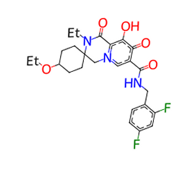 CCOC1CCC2(CC1)Cn1cc(C(=O)NCc3ccc(F)cc3F)c(=O)c(O)c1C(=O)N2CC